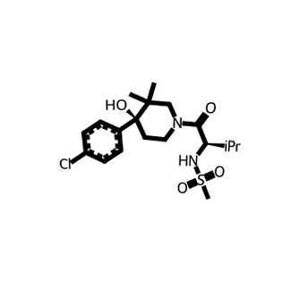 CC(C)[C@@H](NS(C)(=O)=O)C(=O)N1CC[C@](O)(c2ccc(Cl)cc2)C(C)(C)C1